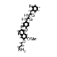 COc1cc2c(Oc3ccc(NC(=O)NC(=O)Cc4ccccc4F)cc3F)ccnc2cc1OCCCN